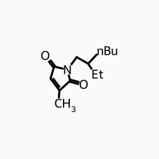 CCCCC(CC)CN1C(=O)C=C(C)C1=O